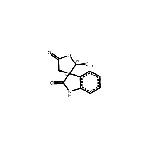 C[C@@H]1OC(=O)C[C@@]12C(=O)Nc1ccccc12